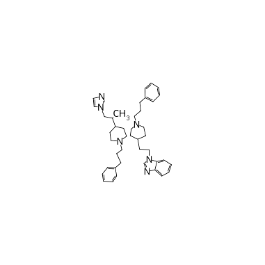 CC(Cn1ccnc1)C1CCN(CCCc2ccccc2)CC1.c1ccc(CCCN2CCC(CCn3cnc4ccccc43)CC2)cc1